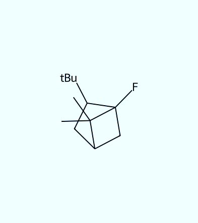 CC(C)(C)C1CC2CC1(F)C2(C)C